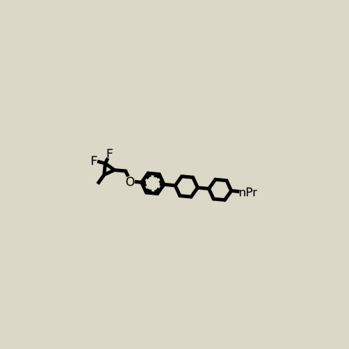 CCCC1CCC(C2CCC(c3ccc(OCC4C(C)C4(F)F)cc3)CC2)CC1